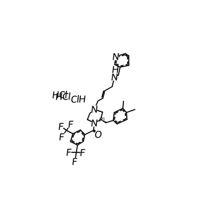 Cc1ccc(C[C@@H]2CN(CC=CCNCc3cccnc3)CCN2C(=O)c2cc(C(F)(F)F)cc(C(F)(F)F)c2)cc1C.Cl.Cl.Cl